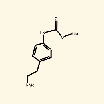 CNCCc1ccc(NC(=O)OC(C)(C)C)nc1